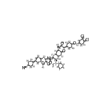 CC[C@H](c1ccccc1)N1Cc2cc3c(cc2C[C@H]1C(=O)NC(Cc1ccc(-c2ccc(C#N)cc2)cc1)C(=O)OC)N(C)C(=O)[C@@H](c1ccc(OCc2ccc(Cl)c(Cl)c2)cc1)O3